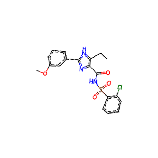 CCc1[nH]c(-c2cccc(OC)c2)nc1C(=O)NS(=O)(=O)c1ccccc1Cl